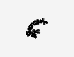 C=CC(=O)NC1CN(S(=O)(=O)N2CCC(CN3CCC4(CC3)CN(c3ncncc3Oc3ccc(F)cc3C(=O)N(C(C)C)C(C)C)C4)CC2)C1